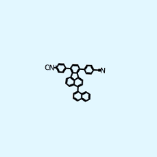 [C-]#[N+]c1ccc(-c2ccc(-c3ccc(C#N)cc3)c3c2-c2cccc4c(-c5cccc6ccccc56)ccc-3c24)cc1